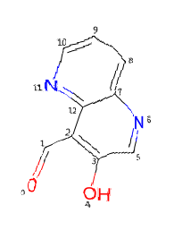 O=Cc1c(O)cnc2cccnc12